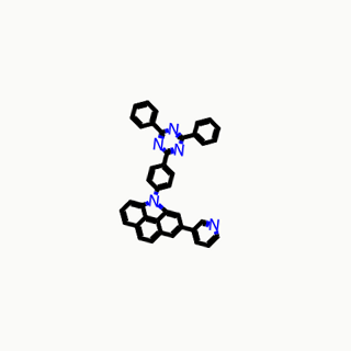 c1ccc(-c2nc(-c3ccccc3)nc(-c3ccc(-n4c5cccc6ccc7cc(-c8cccnc8)cc4c7c65)cc3)n2)cc1